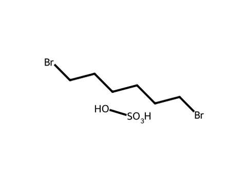 BrCCCCCCBr.O=S(=O)(O)O